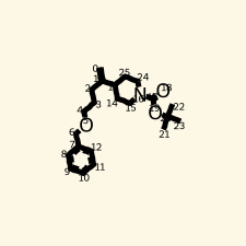 C=C(CCCOCc1ccccc1)C1CCN(C(=O)OC(C)(C)C)CC1